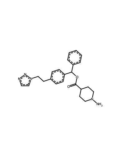 NN1CCC(C(=O)OC(c2ccccc2)c2ccc(CCn3ccnn3)cc2)CC1